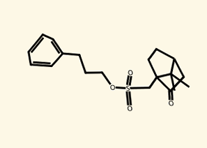 CC1(C)C2CCC1(CS(=O)(=O)OCCCc1ccccc1)C(=O)C2